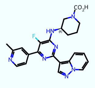 Cc1cc(-c2nc(-c3cnn4ccccc34)nc(N[C@@H]3CCCN(C(=O)O)C3)c2F)ccn1